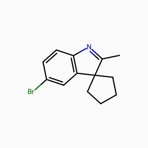 CC1=Nc2ccc(Br)cc2C12CCCC2